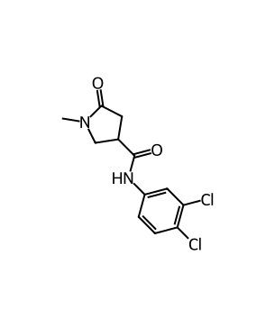 CN1CC(C(=O)Nc2ccc(Cl)c(Cl)c2)CC1=O